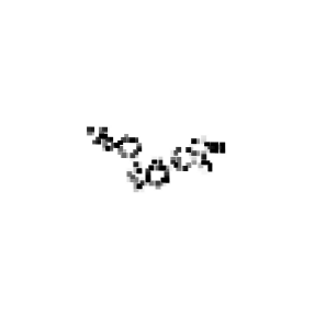 O=C1NCCC12CCN(c1ccc3nnn(-c4cccc(OC(F)(F)F)c4)c3n1)CC2